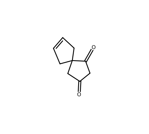 O=C1CC(=O)C2(CC=CC2)C1